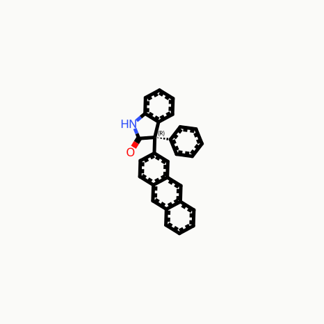 O=C1Nc2ccccc2[C@@]1(c1ccccc1)c1ccc2cc3ccccc3cc2c1